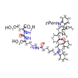 CCCCCN1/C(=C/C=C2\CCCC(/C=C/C3=[N+](CCCCCC(=O)NCCCC[C@H](NC(=O)N[C@@H](CCC(=O)O)C(=O)O)C(=O)O)c4ccccc4C3)=C2Oc2ccccc2)C(C)(C)c2ccccc21